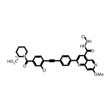 COc1cc2nc(-c3ccc(C#Cc4ccc(C(=O)N5CCCC[C@H]5C(=O)O)cc4Cl)cc3)cc(C(=O)NNCl)c2cn1